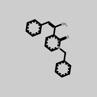 CC(=Cc1ccccc1)c1cccn(Cc2ccccc2)c1=O